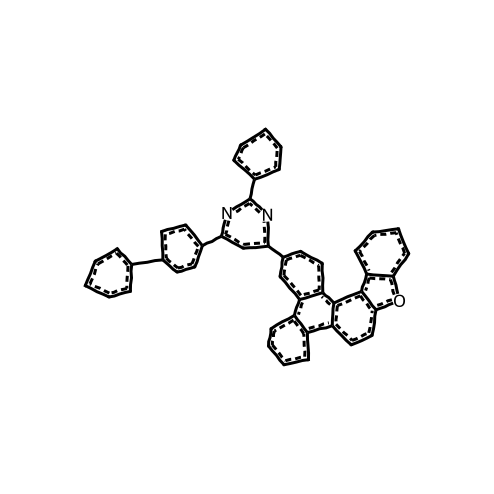 c1ccc(-c2ccc(-c3cc(-c4ccc5c(c4)c4ccccc4c4ccc6oc7ccccc7c6c45)nc(-c4ccccc4)n3)cc2)cc1